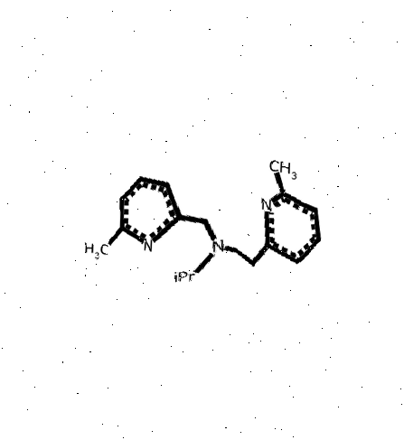 Cc1cccc(CN(Cc2cccc(C)n2)C(C)C)n1